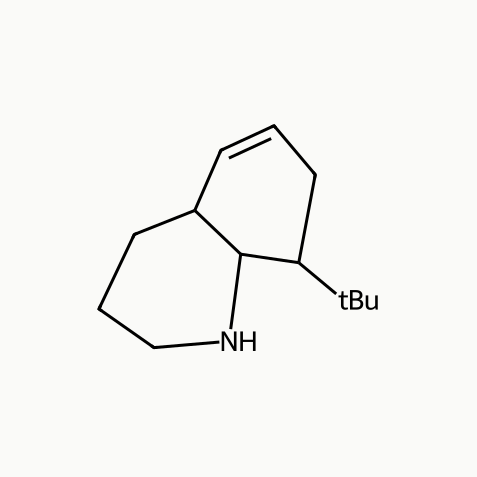 CC(C)(C)C1CC=CC2CCCNC21